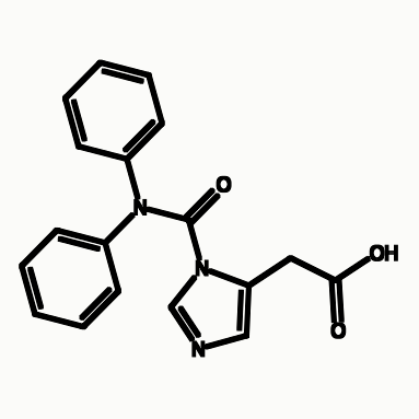 O=C(O)Cc1cncn1C(=O)N(c1ccccc1)c1ccccc1